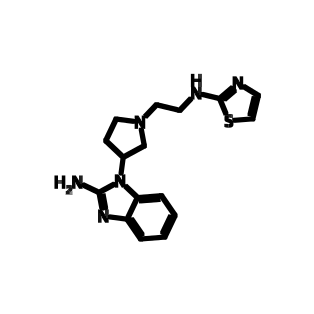 Nc1nc2ccccc2n1C1CCN(CCNc2nccs2)C1